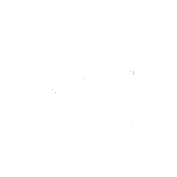 Cc1ncc(Br)cc1N1CCCN(C)S1(=O)=O